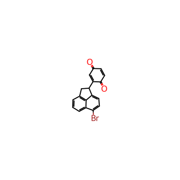 O=C1C=CC(=O)C(C2Cc3cccc4c(Br)ccc2c34)=C1